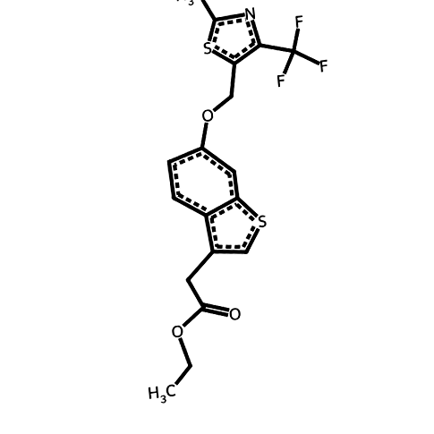 CCOC(=O)Cc1csc2cc(OCc3sc(C)nc3C(F)(F)F)ccc12